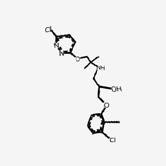 Cc1c(Cl)cccc1OCC(O)CNC(C)(C)COc1ccc(Cl)nn1